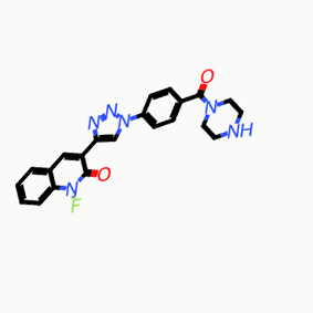 O=C(c1ccc(-n2cc(-c3cc4ccccc4n(F)c3=O)nn2)cc1)N1CCNCC1